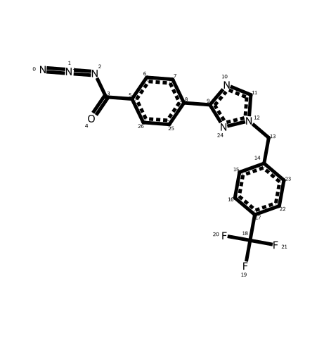 [N-]=[N+]=NC(=O)c1ccc(-c2ncn(Cc3ccc(C(F)(F)F)cc3)n2)cc1